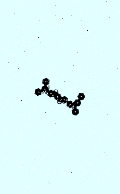 c1ccc(-c2ccc3c(c2)c2cc(-c4ccc5c(c4)oc4cc6c(cc45)oc4cc(-c5nc(-c7ccccc7)cc(-c7ccccc7)n5)ccc46)ccc2n3-c2ccccc2)cc1